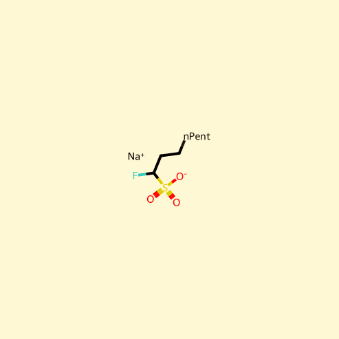 CCCCCCCC(F)S(=O)(=O)[O-].[Na+]